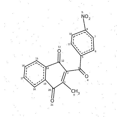 CC1=C(C(=O)c2ccc([N+](=O)[O-])cc2)C(=O)c2ccccc2C1=O